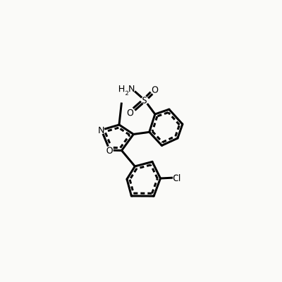 Cc1noc(-c2cccc(Cl)c2)c1-c1ccccc1S(N)(=O)=O